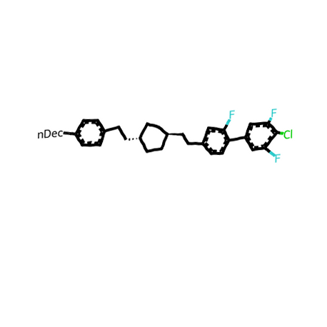 CCCCCCCCCCc1ccc(CC[C@H]2CC[C@H](CCc3ccc(-c4cc(F)c(Cl)c(F)c4)c(F)c3)CC2)cc1